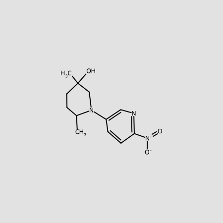 CC1CCC(C)(O)CN1c1ccc([N+](=O)[O-])nc1